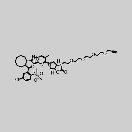 C#CCOCCOCCOCCOCCN1C(=O)O[C@H]2CN(c3nc4cc([C@@H]5CCCCCCC5C(=O)c5cc(Cl)ccc5NS(C)(=O)=O)nn4cc3C)C[C@H]21